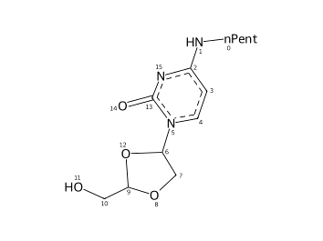 CCCCCNc1ccn(C2COC(CO)O2)c(=O)n1